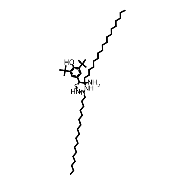 CCCCCCCCCCCCCCCCCCN1NSC(c2cc(C(C)(C)C)c(O)c(C(C)(C)C)c2)C(N)(CCCCCCCCCCCCCCCCCC)N1